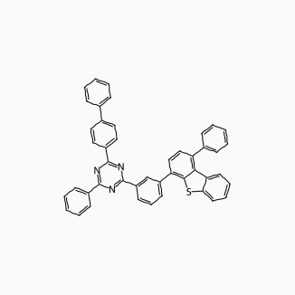 c1ccc(-c2ccc(-c3nc(-c4ccccc4)nc(-c4cccc(-c5ccc(-c6ccccc6)c6c5sc5ccccc56)c4)n3)cc2)cc1